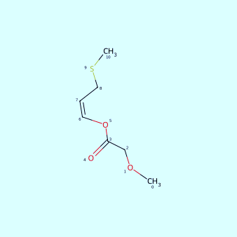 COCC(=O)O/C=C\CSC